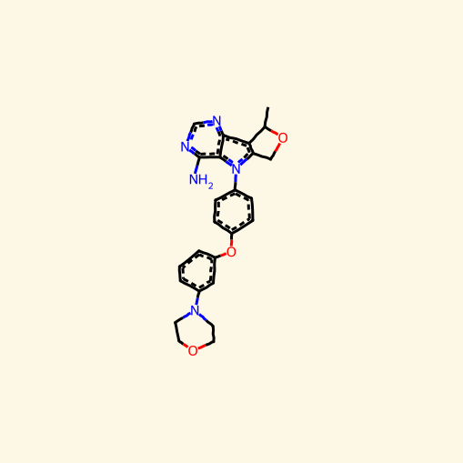 CC1OCc2c1c1ncnc(N)c1n2-c1ccc(Oc2cccc(N3CCOCC3)c2)cc1